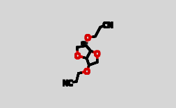 N#CCCOC1COC2C1OC[C@@H]2OCCC#N